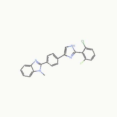 Cn1c(-c2ccc(-c3c[nH]c(-c4c(F)cccc4Cl)n3)cc2)nc2ccccc21